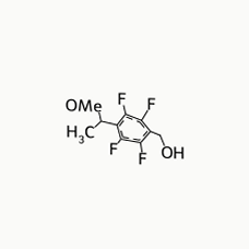 COC(C)c1c(F)c(F)c(CO)c(F)c1F